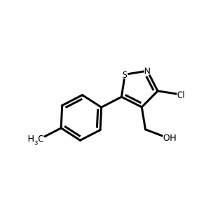 Cc1ccc(-c2snc(Cl)c2CO)cc1